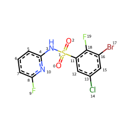 O=S(=O)(Nc1cccc(F)n1)c1cc(Cl)cc(Br)c1F